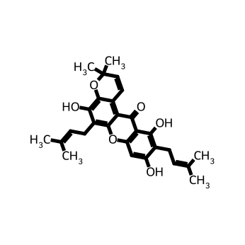 CC(C)=CCc1c(O)cc2oc3c(CC=C(C)C)c(O)c4c(c3c(=O)c2c1O)C=CC(C)(C)O4